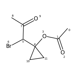 CC(=O)OC1(C(Br)C(C)=O)CC1